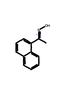 C/C(=N\O)c1cccc2ccccc12